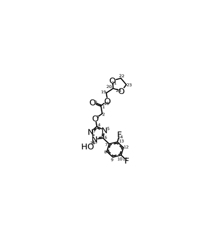 O=C(COc1nc(-c2ccc(F)cc2F)n(O)n1)OCC1OCCO1